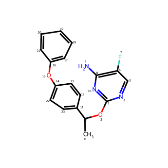 CC(Oc1ncc(F)c(N)n1)c1ccc(Oc2ccccc2)cc1